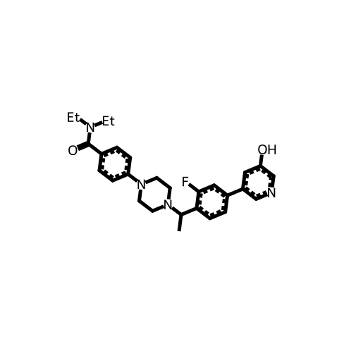 CCN(CC)C(=O)c1ccc(N2CCN(C(C)c3ccc(-c4cncc(O)c4)cc3F)CC2)cc1